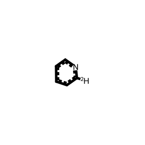 [2H]c1ccccn1